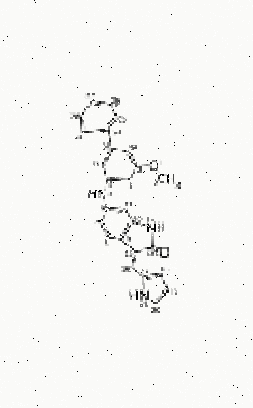 COc1cc(Nc2ccc3c(c2)NC(=O)C3=Cc2ccc[nH]2)cc(-c2c[c]ccc2)c1